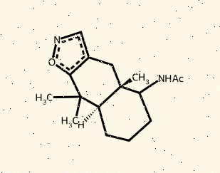 CC(=O)NC1CCC[C@H]2C(C)(C)c3oncc3C[C@]12C